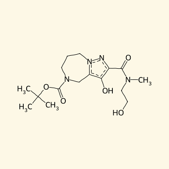 CN(CCO)C(=O)c1nn2c(c1O)CN(C(=O)OC(C)(C)C)CCC2